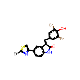 CCc1nc(-c2ccc3c(c2)/C(=C/c2cc(Br)c(O)c(Br)c2)C(=O)N3)cs1